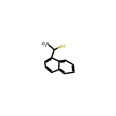 O=[N+]([O-])C(S)c1cccc2ccccc12